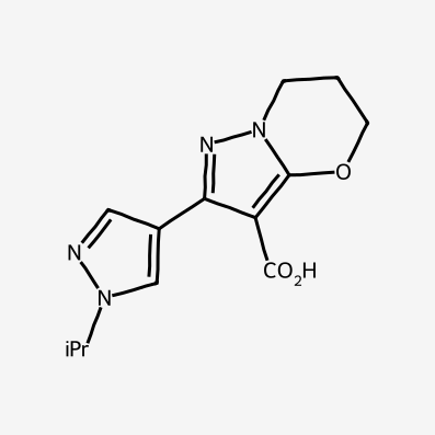 CC(C)n1cc(-c2nn3c(c2C(=O)O)OCCC3)cn1